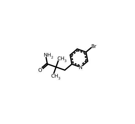 CC(C)(Cc1ccc(Br)cn1)C(N)=O